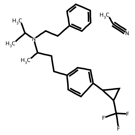 CC#N.CC(C)N(CCc1ccccc1)C(C)CCc1ccc(C2CC2C(F)(F)F)cc1